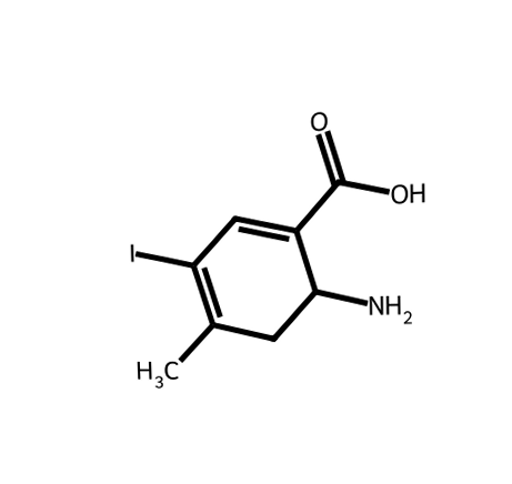 CC1=C(I)C=C(C(=O)O)C(N)C1